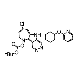 CC(C)(C)OC(=O)ON1CC=C(Cl)C=c2[nH]c3c(c21)CN=NC=3[C@H]1CC[C@H](Oc2ccccn2)CC1